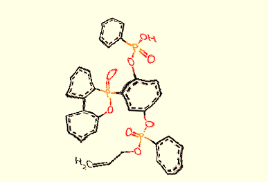 C=CCOP(=O)(Oc1ccc(OP(=O)(O)c2ccccc2)c(P2(=O)Oc3ccccc3-c3ccccc32)c1)c1ccccc1